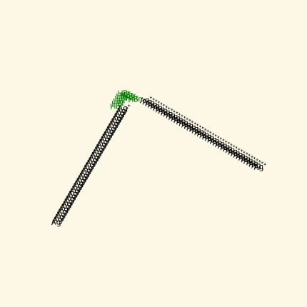 Br.Br.Br.Br.Br.Br.Br.Br.Br.Br.[Ag+].[Ag+].[Ag+].[Ag+].[Ag+].[Ag+].[Ag+].[Ag+].[Ag+].[Ag+].[Ag+].[Ag+].[Ag+].[Ag+].[Ag+].[Ag+].[Ag+].[Ag+].[Ag+].[Ag+].[Ag+].[Ag+].[Ag+].[Ag+].[Ag+].[Ag+].[Ag+].[Ag+].[Ag+].[Ag+].[Ag+].[Ag+].[Ag+].[Ag+].[Ag+].[Ag+].[Ag+].[Ag+].[Ag+].[Ag+].[Ag+].[Ag+].[Ag+].[Ag+].[Ag+].[Ag+].[Ag+].[Ag+].[Ag+].[Ag+].[Ag+].[Ag+].[Ag+].[Ag+].[Ag+].[Ag+].[Ag+].[Ag+].[Ag+].[Ag+].[Ag+].[Ag+].[Ag+].[Ag+].[Ag+].[Ag+].[Ag+].[Ag+].[Ag+].[Ag+].[Ag+].[Ag+].[Ag+].[Ag+].[Ag+].[Ag+].[Ag+].[Ag+].[Ag+].[Ag+].[Ag+].[Ag+].[Ag+].[Ag+].[Ag+].[Ag+].[Ag+].[Ag+].[Ag+].[Ag+]